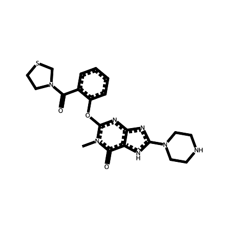 Cn1c(Oc2ccccc2C(=O)N2CCSC2)nc2nc(N3CCNCC3)[nH]c2c1=O